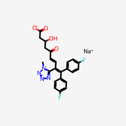 Cn1nnnc1C(C=CC(=O)CC(O)CC(=O)[O-])=C(c1ccc(F)cc1)c1ccc(F)cc1.[Na+]